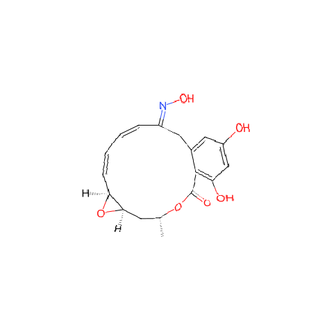 C[C@@H]1C[C@H]2O[C@H]2C=CC=CC(=NO)Cc2cc(O)cc(O)c2C(=O)O1